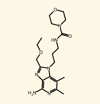 CCOCc1nc2c(N)nc(C)c(C)c2n1CCCNC(=O)N1CCOCC1